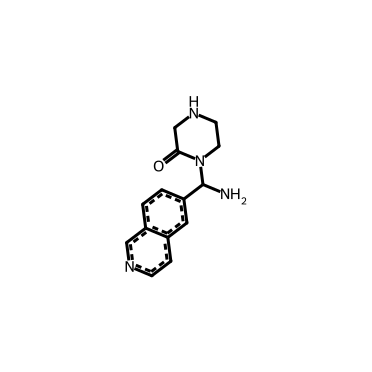 NC(c1ccc2cnccc2c1)N1CCNCC1=O